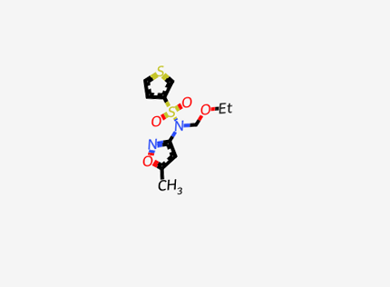 CCOCN(c1cc(C)on1)S(=O)(=O)c1ccsc1